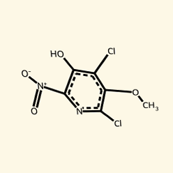 COc1c(Cl)nc([N+](=O)[O-])c(O)c1Cl